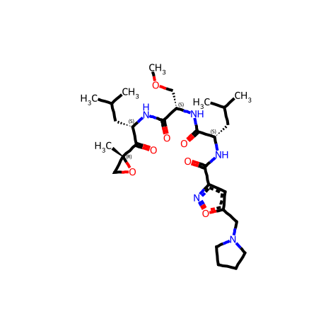 COC[C@H](NC(=O)[C@H](CC(C)C)NC(=O)c1cc(CN2CCCC2)on1)C(=O)N[C@@H](CC(C)C)C(=O)[C@@]1(C)CO1